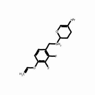 C=COc1ccc(C[SiH2]C2CCC(CCC)=CO2)c(F)c1F